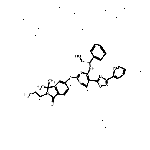 CCCN1C(=O)c2ccc(Nc3ncc(-c4nc(-c5ccccn5)no4)c(N[C@H](CO)c4ccccc4)n3)cc2C1(C)C